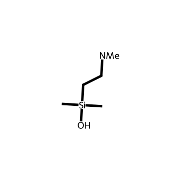 CNCC[Si](C)(C)O